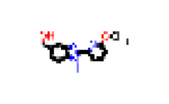 COc1cccc(-c2nc3cc(CO)ccc3[nH]2)n1